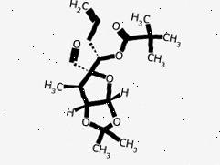 C=CC[C@H](OC(=O)C(C)(C)C)[C@@]1(C=O)O[C@@H]2OC(C)(C)O[C@@H]2[C@H]1C